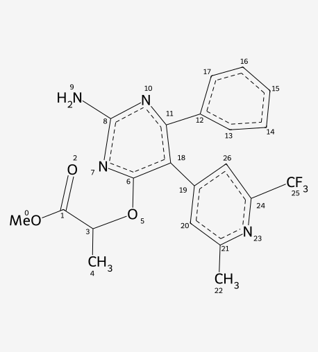 COC(=O)C(C)Oc1nc(N)nc(-c2ccccc2)c1-c1cc(C)nc(C(F)(F)F)c1